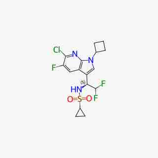 O=S(=O)(N[C@@H](c1cn(C2CCC2)c2nc(Cl)c(F)cc12)C(F)F)C1CC1